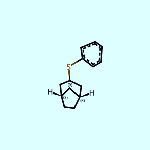 c1ccc(S[C@H]2C[C@@H]3CC[C@@H](C3)C2)cc1